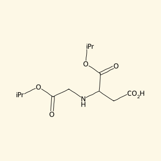 CC(C)OC(=O)CNC(CC(=O)O)C(=O)OC(C)C